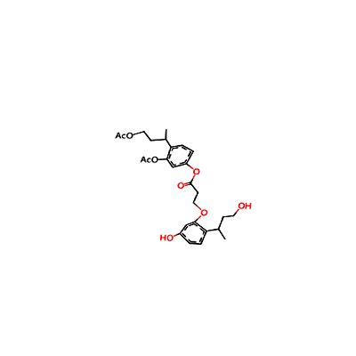 CC(=O)OCCC(C)c1ccc(OC(=O)CCOc2cc(O)ccc2C(C)CCO)cc1OC(C)=O